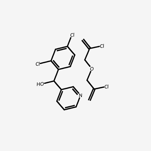 C=C(Cl)COCC(=C)Cl.OC(c1cccnc1)c1ccc(Cl)cc1Cl